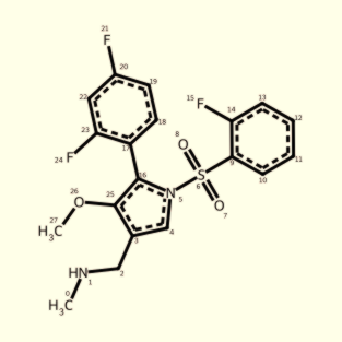 CNCc1cn(S(=O)(=O)c2ccccc2F)c(-c2ccc(F)cc2F)c1OC